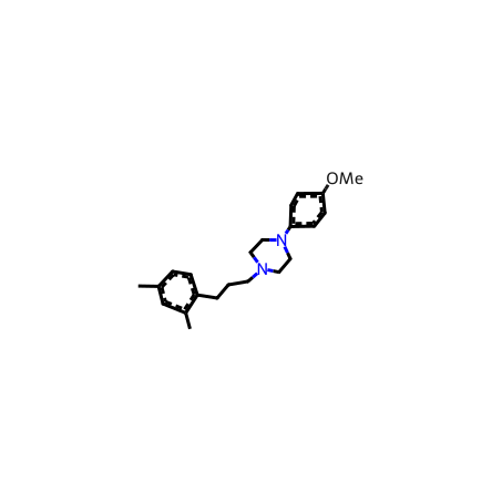 COc1ccc(N2CCN(CCCc3ccc(C)cc3C)CC2)cc1